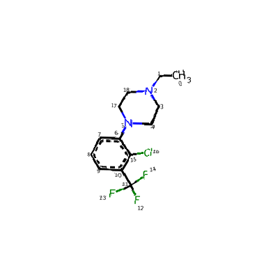 CCN1CCN(c2cccc(C(F)(F)F)c2Cl)CC1